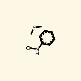 CSC.ClNc1ccccc1